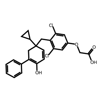 O=C(O)COc1cc(Cl)c(CC2(C3CC3)C=CC(O)=C(c3ccccc3)C2)c(Cl)c1